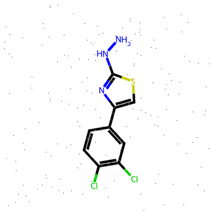 NNc1nc(-c2ccc(Cl)c(Cl)c2)cs1